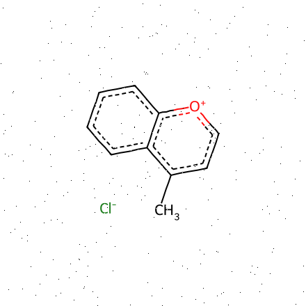 Cc1cc[o+]c2ccccc12.[Cl-]